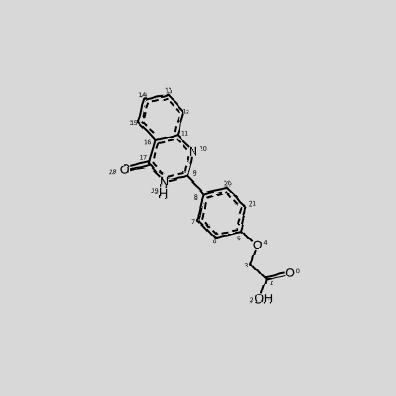 O=C(O)COc1ccc(-c2nc3ccccc3c(=O)[nH]2)cc1